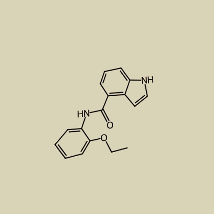 CCOc1ccccc1NC(=O)c1cccc2[nH]ccc12